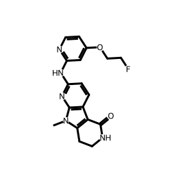 Cn1c2c(c3ccc(Nc4cc(OCCF)ccn4)nc31)C(=O)NCC2